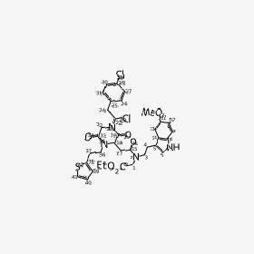 CCOC(=O)CN(CCc1c[nH]c2ccc(OC)cc12)C(=O)CC1C(=O)N(C(Cl)Cc2ccc(Cl)cc2)CC(=O)N1CCc1cccs1